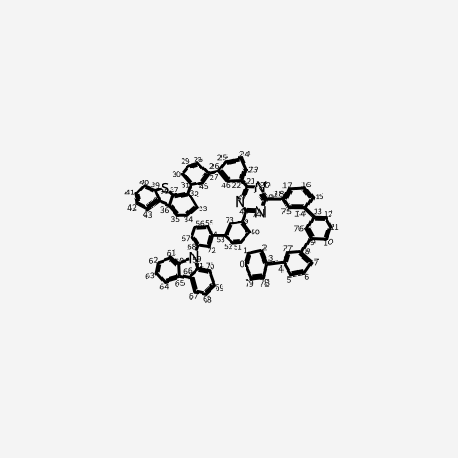 c1ccc(-c2cccc(-c3cccc(-c4cccc(-c5nc(-c6cccc(-c7cccc(-c8cccc9c8sc8ccccc89)c7)c6)nc(-c6cccc(-c7cccc(-n8c9ccccc9c9ccccc98)c7)c6)n5)c4)c3)c2)cc1